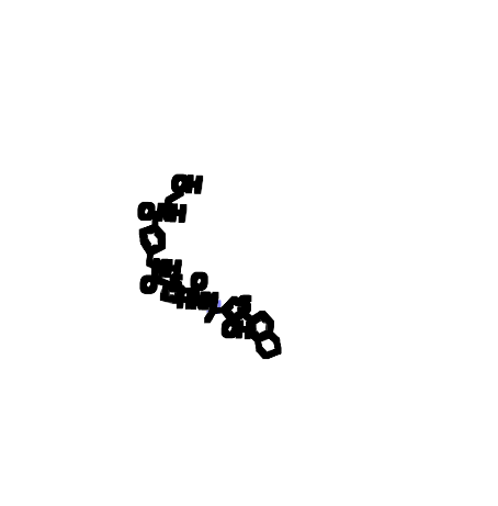 C/C(=N\NC(=O)c1ccc(C(=O)NCc2ccc(C(=O)NCCO)cc2)s1)c1csc(-c2ccc3c(c2)CCCC3)c1O